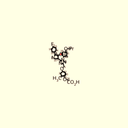 Cc1cc(OCc2nc(-c3cnn(-c4ccc(F)cc4)c3C)n(-c3ccc(OC(C)C)cc3)n2)ccc1OCC(=O)O